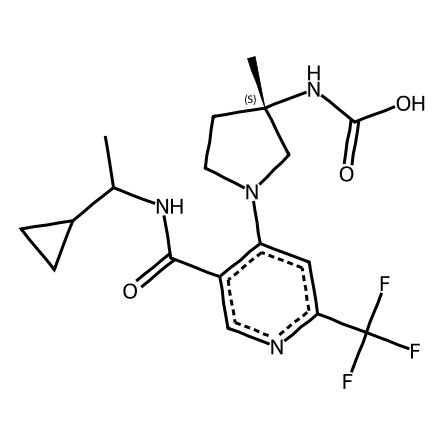 CC(NC(=O)c1cnc(C(F)(F)F)cc1N1CC[C@](C)(NC(=O)O)C1)C1CC1